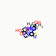 CCNC(=O)NC1(C2CNCCC2(C)C(=O)O)N=CC=CN1c1cc(-c2ccc(C(C)(C)O)cn2)c2scnc2c1